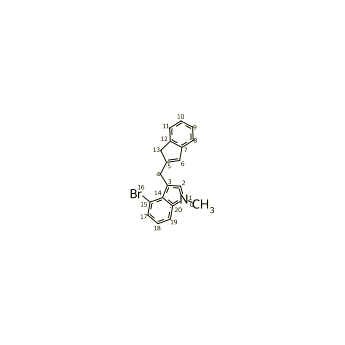 Cn1cc(CC2=Cc3ccccc3C2)c2c(Br)cccc21